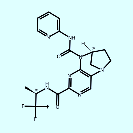 C[C@@H](NC(=O)c1ncc2c(n1)N(C(=O)Nc1ccccn1)[C@H]1CCN2C1)C(F)(F)F